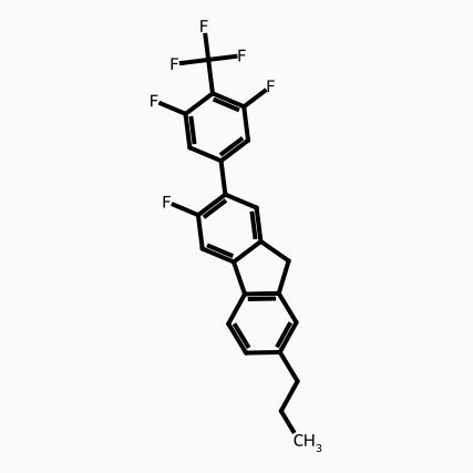 CCCc1ccc2c(c1)Cc1cc(-c3cc(F)c(C(F)(F)F)c(F)c3)c(F)cc1-2